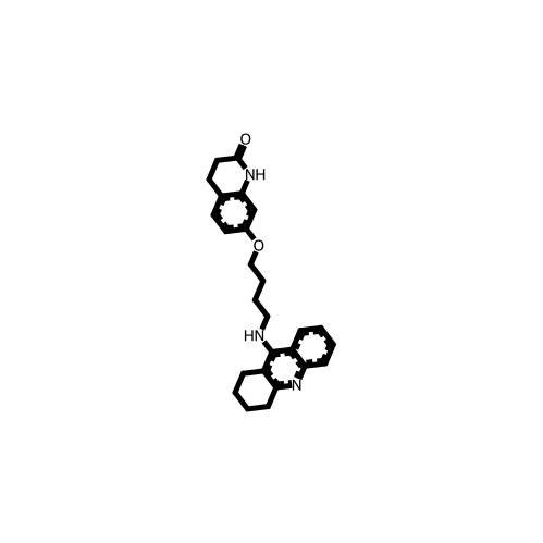 O=C1CCc2ccc(OCCCCNc3c4c(nc5ccccc35)CCCC4)cc2N1